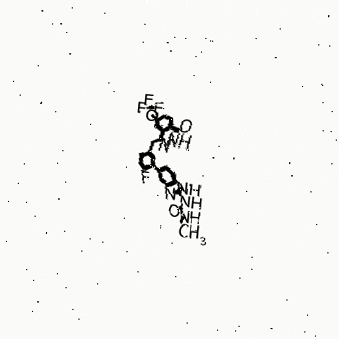 CCNC(=O)Nc1nc2cc(-c3cc(Cc4n[nH]c(=O)c5ccc(OC(F)(F)F)cc45)ccc3F)ccc2[nH]1